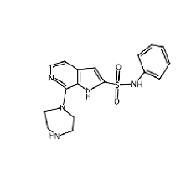 O=S(=O)(Nc1ccccc1)c1cc2ccnc(N3CCNCC3)c2[nH]1